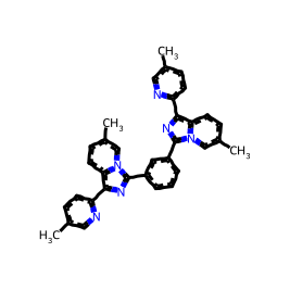 Cc1ccc(-c2nc(-c3cccc(-c4nc(-c5ccc(C)cn5)c5ccc(C)cn45)c3)n3cc(C)ccc23)nc1